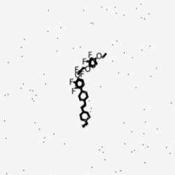 C=CC1CCC(/C=C/C2CCC(c3ccc(OC(F)(F)COc4ccc(OCC)c(F)c4F)c(F)c3F)CC2)CC1